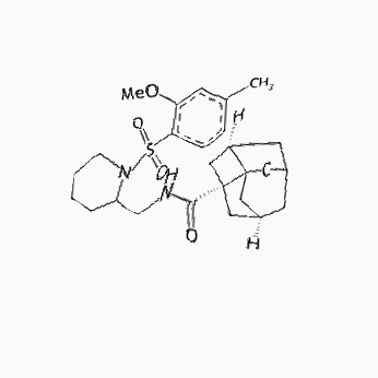 COc1cc(C)ccc1S(=O)(=O)N1CCCCC1CNC(=O)[C@]12C[C@@H]3CC4C[C@H](C1)C2(C4)C3